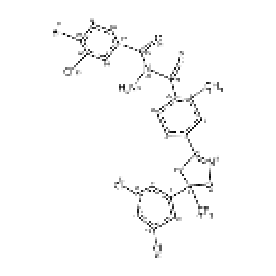 Cc1cc(C2=NOC(c3cc(Cl)cc(Cl)c3)(C(F)(F)F)C2)ccc1C(=O)N(N)C(=O)c1ccc(Br)c(Cl)c1